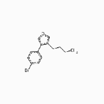 [CH2]CCCc1cocc1-c1ccc(Br)cc1